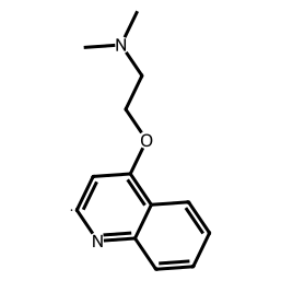 CN(C)CCOc1c[c]nc2ccccc12